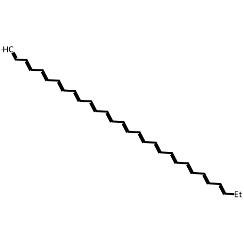 [CH]=C/C=C/C=C/C=C/C=C/C=C/C=C/C=C/C=C/C=C/C=C/C=C/C=C/C=C/CC